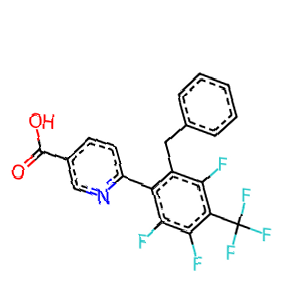 O=C(O)c1ccc(-c2c(F)c(F)c(C(F)(F)F)c(F)c2Cc2ccccc2)nc1